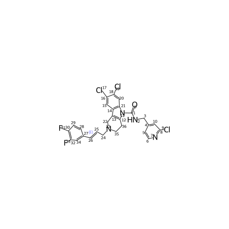 O=C(NCc1ccnc(Cl)c1)n1c2c(c3cc(Cl)c(Cl)cc31)CN(C/C=C/c1ccc(F)c(F)c1)CC2